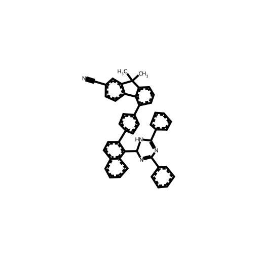 CC1(C)c2cc(C#N)ccc2-c2c(-c3ccc(-c4ccc5ccccc5c4C4N=C(c5ccccc5)N=C(c5ccccc5)N4)cc3)cccc21